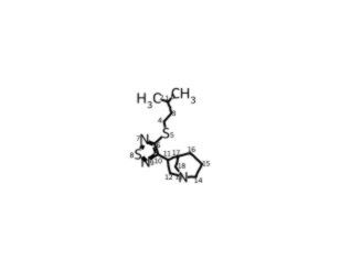 CC(C)CCSc1nsnc1C1CN2CCCC1C2